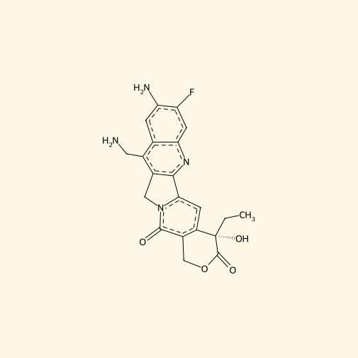 CC[C@@]1(O)C(=O)OCc2c1cc1n(c2=O)Cc2c-1nc1cc(F)c(N)cc1c2CN